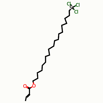 CC=CC(=O)OCCCCCCCCCCCCCCCCCCC[Si](Cl)(Cl)Cl